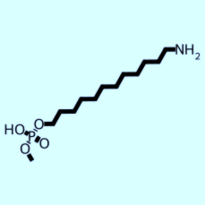 COP(=O)(O)OCCCCCCCCCCCCN